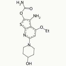 CCOc1cc(N2CCC(O)CC2)nc2sc(OC(N)=O)c(N)c12